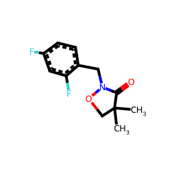 CC1(C)CON(Cc2ccc(F)cc2F)C1=O